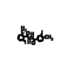 Cc1ccc(C(=O)NNC(=O)c2c(C)cccc2I)cc1I